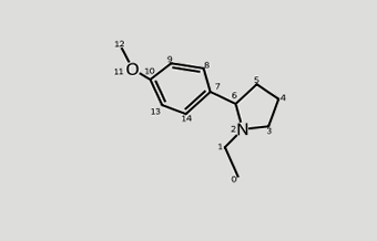 CCN1CCCC1c1ccc(OC)cc1